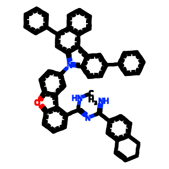 CN/C(=N\C(=N)c1ccc2c(c1)C=CCC2)c1cccc2oc3ccc(-n4c5ccc(-c6ccccc6)cc5c5c6ccccc6c(-c6ccccc6)cc54)cc3c12